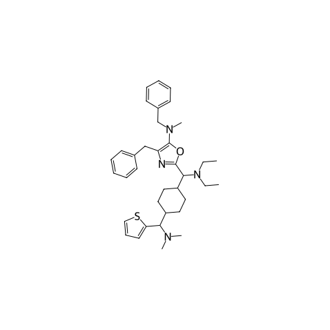 CCN(CC)C(c1nc(Cc2ccccc2)c(N(C)Cc2ccccc2)o1)C1CCC(C(c2cccs2)N(C)C)CC1